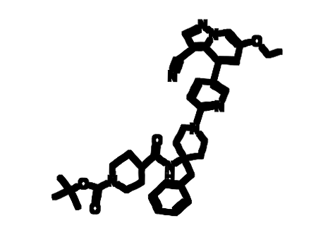 CCOc1cc(-c2ccc(N3CCC(Cc4ccccc4)(NC(=O)C4CCN(C(=O)OC(C)(C)C)CC4)CC3)nc2)c2c(C#N)cnn2c1